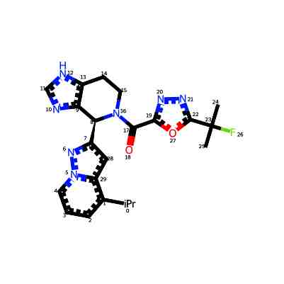 CC(C)c1cccn2nc([C@H]3c4nc[nH]c4CCN3C(=O)c3nnc(C(C)(C)F)o3)cc12